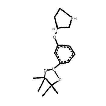 CC1(C)OB(c2cccc(O[C@@H]3CCNC3)c2)OC1(C)C